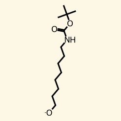 CC(C)(C)OC(=O)NCCCCCCCC[O]